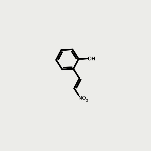 O=[N+]([O-])C=Cc1ccccc1O